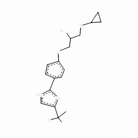 OC(CNC1CC1)COc1ccc(-c2nc(C(F)(F)F)c[nH]2)cc1